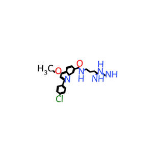 CCOc1cc(-c2ccc(Cl)cc2)nc2cc(C(=O)NCCCC(=N)NC=N)ccc12